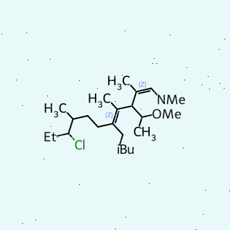 CCC(C)C/C(CCC(C)C(Cl)CC)=C(/C)C(/C(C)=C\NC)C(C)OC